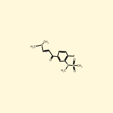 CN(C)/C=C/C(=O)c1ccc(F)c(N(C)S(C)(=O)=O)c1